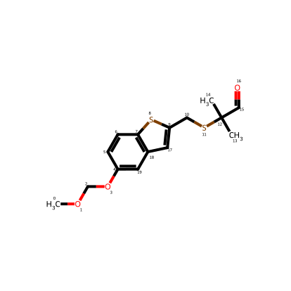 COCOc1ccc2sc(CSC(C)(C)C=O)cc2c1